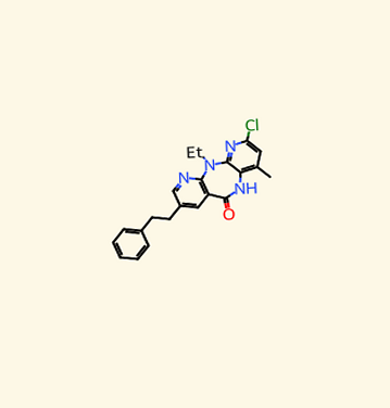 CCN1c2ncc(CCc3ccccc3)cc2C(=O)Nc2c(C)cc(Cl)nc21